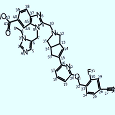 CCn1cncc1Cn1c(CN2CC3C=C(c4cccc(OCc5ccc(C#N)cc5F)n4)CC3C2)nc2ccc(C(=O)O)cc21